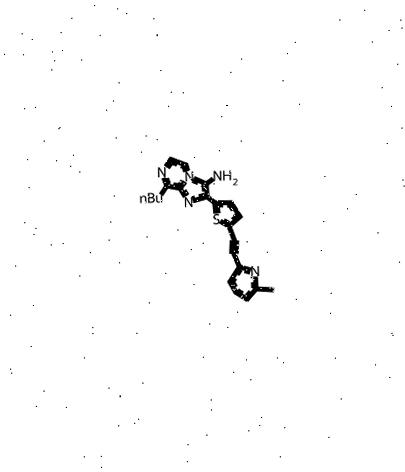 CCCCc1nccn2c(N)c(-c3ccc(C#Cc4cccc(C)n4)s3)nc12